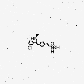 O=C(C=Cc1ccc(C=C(CNC2CC2)c2cccc(Cl)c2)cc1)NO